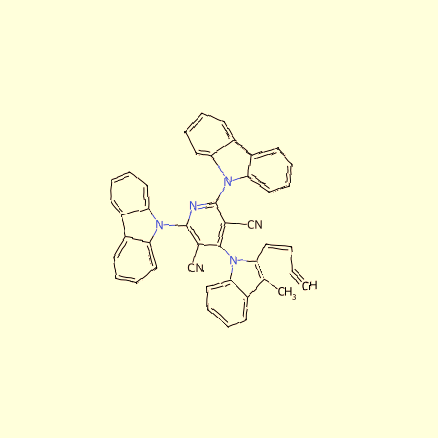 C#C/C=C\c1c(C)c2ccccc2n1-c1c(C#N)c(-n2c3ccccc3c3ccccc32)nc(-n2c3ccccc3c3ccccc32)c1C#N